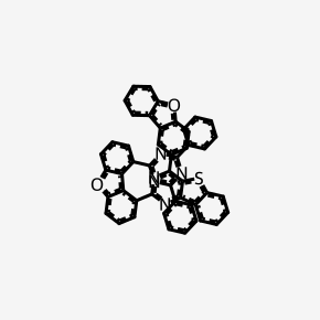 c1ccc(-c2nc(-c3ccccc3)nc(-c3cccc4oc5cccc(-c6nc(-c7ccc8oc9ccccc9c8c7)c7sc8ccccc8c7n6)c5c34)n2)cc1